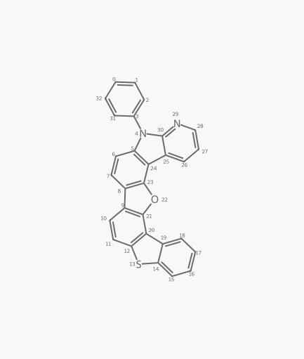 c1ccc(-n2c3ccc4c5ccc6sc7ccccc7c6c5oc4c3c3cccnc32)cc1